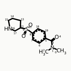 CN(C)C(=O)c1ccc(S(=O)(=O)C2CCCNC2)cc1